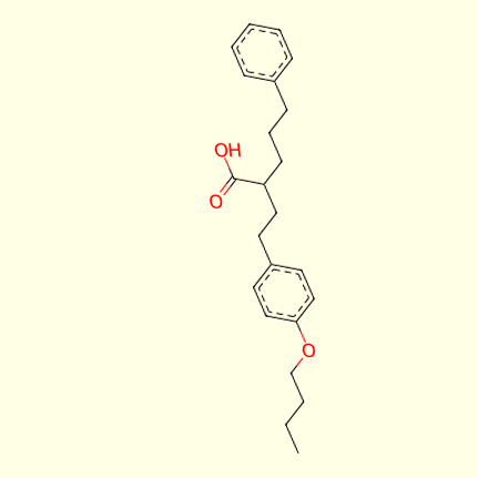 CCCCOc1ccc(CCC(CCCc2ccccc2)C(=O)O)cc1